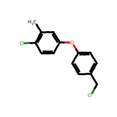 Cc1cc(Oc2ccc(CCl)cc2)ccc1Cl